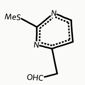 CSc1nccc(CC=O)n1